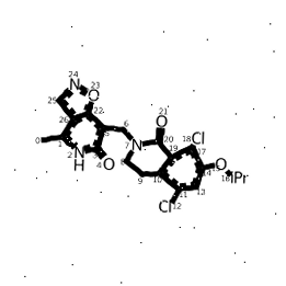 Cc1[nH]c(=O)c(CN2CCc3c(Cl)cc(OC(C)C)c(Cl)c3C2=O)c2oncc12